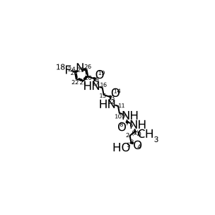 C[C@H](CC(=O)O)NC(=O)NCCNC(=O)CCNC(=O)c1ccc([18F])nc1